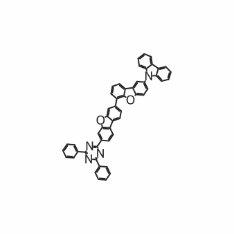 c1ccc(-c2nc(-c3ccccc3)nc(-c3ccc4c(c3)oc3cc(-c5cccc6c5oc5ccc(-n7c8ccccc8c8ccccc87)cc56)ccc34)n2)cc1